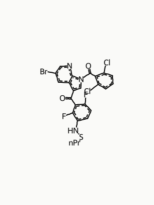 CCCSNc1ccc(F)c(C(=O)c2cn(C(=O)c3c(Cl)cccc3Cl)c3ncc(Br)cc23)c1F